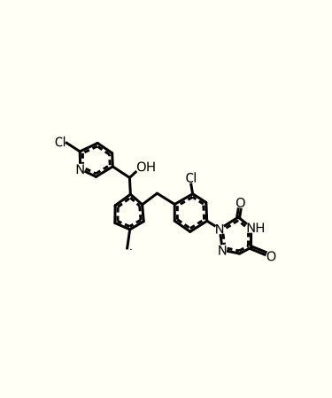 [CH2]c1ccc(C(O)c2ccc(Cl)nc2)c(Cc2ccc(-n3ncc(=O)[nH]c3=O)cc2Cl)c1